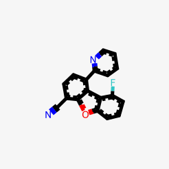 N#Cc1ccc(-c2ccccn2)c2c1oc1cccc(F)c12